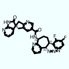 [N-]=[N+]=N[C@@H]1c2cccnc2[C@@H](NC(=O)c2cnc3c(c2)C[C@@]2(C3)C(=O)Nc3ncccc32)CC[C@H]1c1cccc(F)c1F